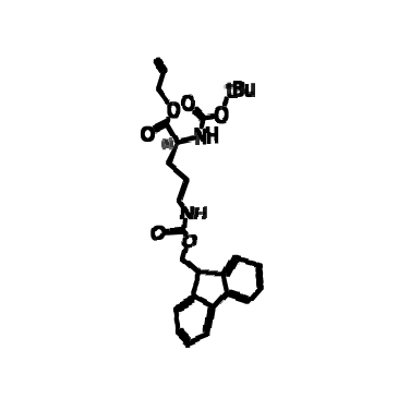 C=CCOC(=O)[C@H](CCCNC(=O)OCC1c2ccccc2-c2ccccc21)NC(=O)OC(C)(C)C